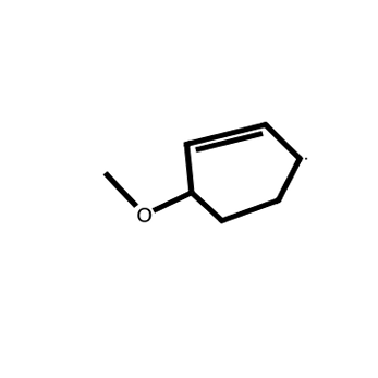 COC1C=C[CH]CC1